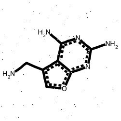 NCc1coc2nc(N)nc(N)c12